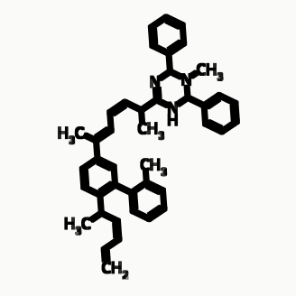 C=C/C=C\C(C)c1ccc(/C(C)=C/C=C\C(C)C2=NC(c3ccccc3)N(C)C(c3ccccc3)N2)cc1-c1ccccc1C